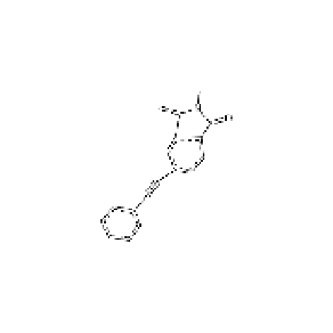 C=C1c2cc(C#Cc3ccccc3)ccc2C(=O)N1C